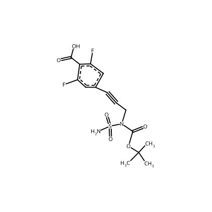 CC(C)(C)OC(=O)N(CC#Cc1cc(F)c(C(=O)O)c(F)c1)S(N)(=O)=O